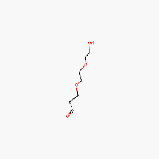 O=CCCOCCOCCO